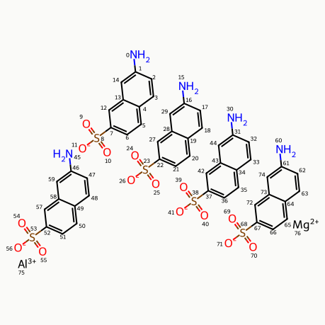 Nc1ccc2ccc(S(=O)(=O)[O-])cc2c1.Nc1ccc2ccc(S(=O)(=O)[O-])cc2c1.Nc1ccc2ccc(S(=O)(=O)[O-])cc2c1.Nc1ccc2ccc(S(=O)(=O)[O-])cc2c1.Nc1ccc2ccc(S(=O)(=O)[O-])cc2c1.[Al+3].[Mg+2]